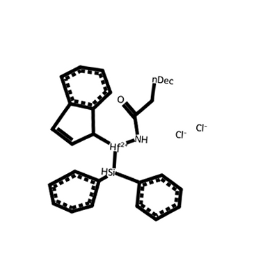 CCCCCCCCCCCC(=O)[NH][Hf+2]([CH]1C=Cc2ccccc21)[SiH](c1ccccc1)c1ccccc1.[Cl-].[Cl-]